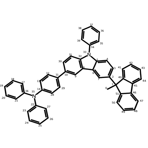 CC1(c2ccc3c(c2)c2cc(-c4ccc(N(c5ccccc5)c5ccccc5)cc4)ccc2n3-c2ccccc2)c2ccccc2-c2ccccc21